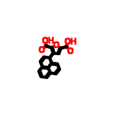 O=C(O)c1cc(C2C=Cc3cccc4cccc2c34)c(C(=O)O)o1